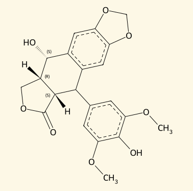 COc1cc(C2c3cc4c(cc3[C@@H](O)[C@H]3COC(=O)[C@@H]23)OCO4)cc(OC)c1O